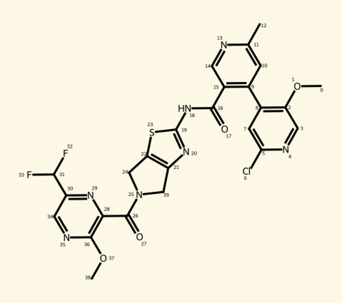 COc1cnc(Cl)cc1-c1cc(C)ncc1C(=O)Nc1nc2c(s1)CN(C(=O)c1nc(C(F)F)cnc1OC)C2